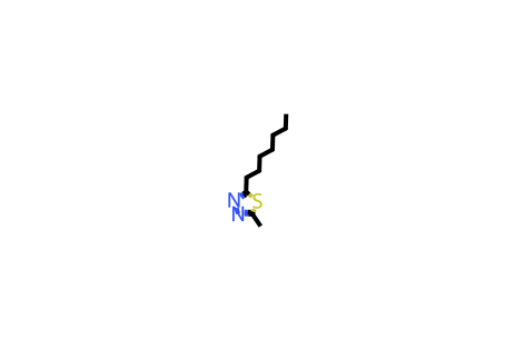 CCCCCCCc1nnc(C)s1